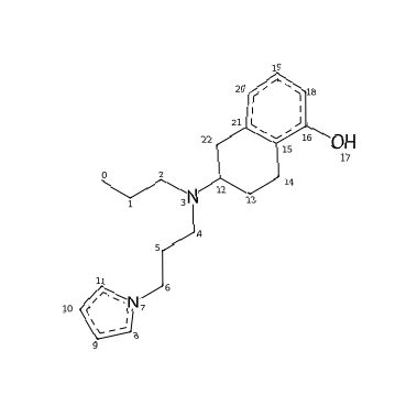 CCCN(CCCn1cccc1)C1CCc2c(O)cccc2C1